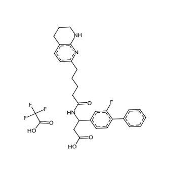 O=C(O)C(F)(F)F.O=C(O)CC(NC(=O)CCCCc1ccc2c(n1)NCCC2)c1ccc(-c2ccccc2)c(F)c1